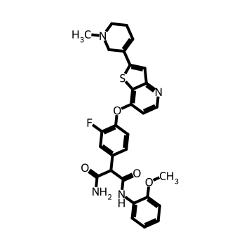 COc1ccccc1NC(=O)C(C(N)=O)c1ccc(Oc2ccnc3cc(C4=CCCN(C)C4)sc23)c(F)c1